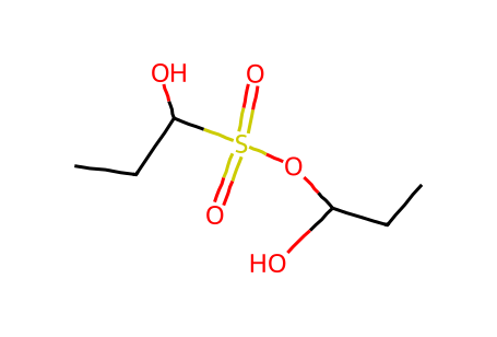 CCC(O)OS(=O)(=O)C(O)CC